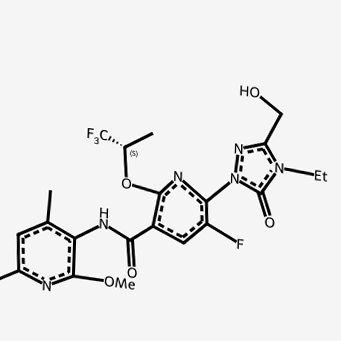 CCn1c(CO)nn(-c2nc(O[C@@H](C)C(F)(F)F)c(C(=O)Nc3c(C)cc(C)nc3OC)cc2F)c1=O